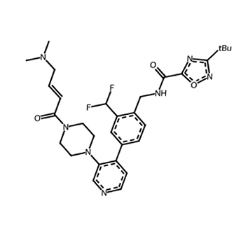 CN(C)C/C=C/C(=O)N1CCN(c2cnccc2-c2ccc(CNC(=O)c3nc(C(C)(C)C)no3)c(C(F)F)c2)CC1